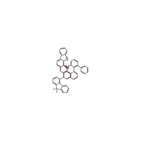 CC1(C)c2ccccc2-c2c(-c3cccc(N(c4cccc(-c5ccccc5)c4-c4ccccc4-c4ccccc4)c4cccc5c4sc4ccccc45)c3)cccc21